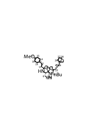 CCCC[C@H](NC(=O)[C@H](CC(C)C)NC(=O)C=Cc1ccc(OC)cc1)C(=O)CSCc1ccco1